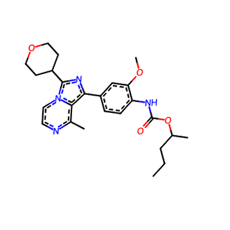 CCCC(C)OC(=O)Nc1ccc(-c2nc(C3CCOCC3)n3ccnc(C)c23)cc1OC